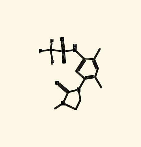 Cc1cc(C)c(N2CCN(C)C2=O)cc1NS(=O)(=O)C(F)(F)F